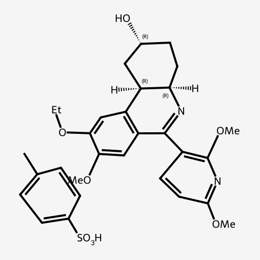 CCOc1cc2c(cc1OC)C(c1ccc(OC)nc1OC)=N[C@@H]1CC[C@@H](O)C[C@H]21.Cc1ccc(S(=O)(=O)O)cc1